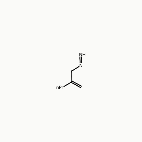 C=C(CCC)CN=N